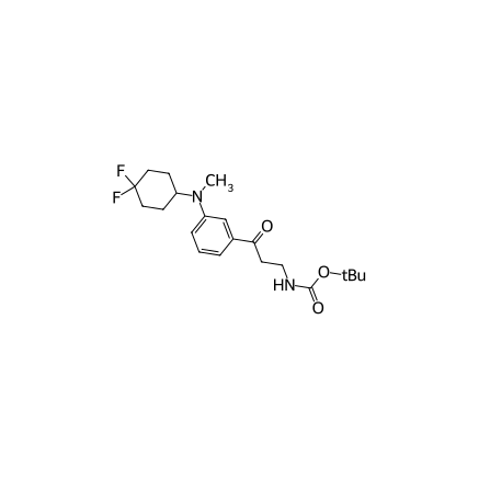 CN(c1cccc(C(=O)CCNC(=O)OC(C)(C)C)c1)C1CCC(F)(F)CC1